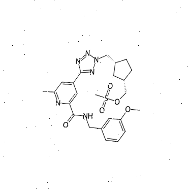 COc1cccc(CNC(=O)c2cc(-c3nnn(C[C@@H]4CC[C@H](COS(C)(=O)=O)C4)n3)cc(C)n2)c1